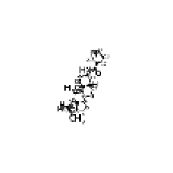 C[C@H](O)[C@H]1CCC2C3CC[C@H]4C[C@H](NC(=O)c5cccnc5)CC[C@]4(C)C3CC[C@@]21C